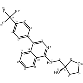 O[C@]1(CNc2ncc(-c3ccc(C(F)(F)F)cc3)c3ncccc23)CCOC1